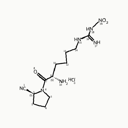 Cl.N#C[C@@H]1CCCN1C(=O)[C@@H](N)CCCCNC(=N)N[N+](=O)[O-]